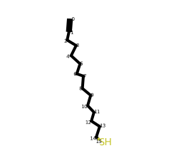 C#CCCCCCCCCCCCCCS